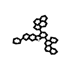 c1ccc(-c2ccc3cc4c(cc3c2)oc2c(-c3cc5ccc6ccccc6c5c5ccccc35)ccc(-c3ccc5ccc6cccc7ccc3c5c67)c24)cc1